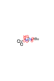 CC(C)(C)OC(=O)N1CC(O)C2C1CON2C(=O)OCC1c2ccccc2-c2ccccc21